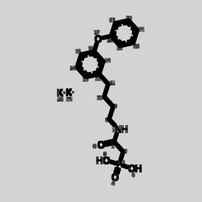 O=C(CP(=O)(O)O)NCCCCc1cccc(Oc2ccccc2)c1.[K].[K]